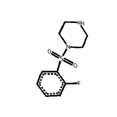 O=S(=O)(c1ccccc1F)N1CCNCC1